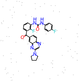 O=C(Nc1ccc(F)cc1)Nc1cccc(C(=O)c2ccc3ncc(N4CCCC4)nc3c2)c1F